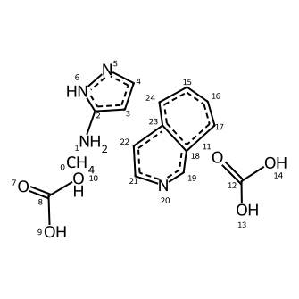 C.Nc1ccn[nH]1.O=C(O)O.O=C(O)O.c1ccc2cnccc2c1